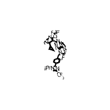 CC(C)n1cc(C(F)(F)F)nc1-c1ccc(CN(c2nc(-c3c(OC(F)F)ncnc3C3CC3)nn3ccnc23)C(F)F)cc1